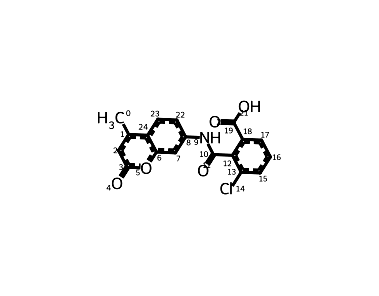 Cc1cc(=O)oc2cc(NC(=O)c3c(Cl)cccc3C(=O)O)ccc12